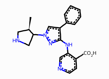 C[C@@H]1CNCC1n1cc(-c2ccccc2)c(Nc2cnccc2C(=O)O)n1